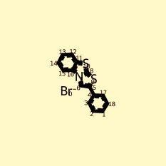 [Br-].c1ccc(-c2c[n+]3c(s2)sc2ccccc23)cc1